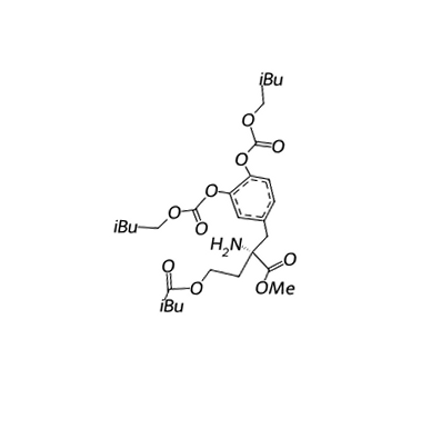 CCC(C)COC(=O)Oc1ccc(C[C@](N)(CCOC(=O)C(C)CC)C(=O)OC)cc1OC(=O)OCC(C)CC